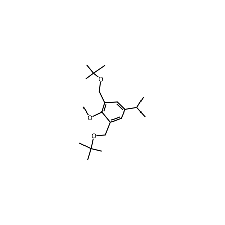 COc1c(COC(C)(C)C)cc(C(C)C)cc1COC(C)(C)C